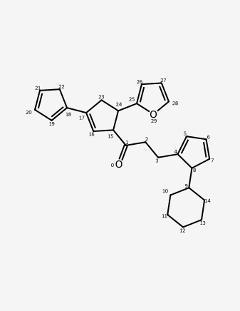 O=C(CCC1=CC=CC1C1CCCCC1)C1C=C(C2=CC=CC2)CC1c1ccco1